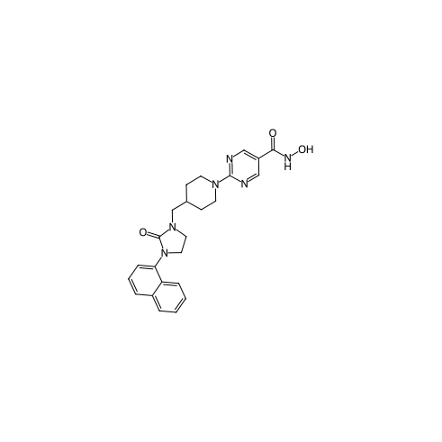 O=C(NO)c1cnc(N2CCC(CN3CCN(c4cccc5ccccc45)C3=O)CC2)nc1